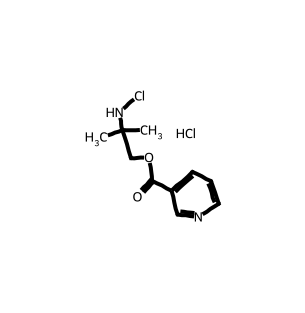 CC(C)(COC(=O)c1cccnc1)NCl.Cl